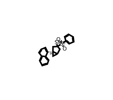 CSC1(S(=O)(=O)c2ccccc2)CC2C[C@@]2(c2cccc3ccccc23)C1